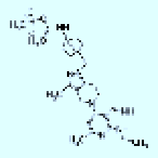 CCNc1nc(C)cc(N2CCc3c(c(C)nn3CC34CCC(NC(=O)OC(C)(C)C)(CC3)CC4)C2)c1C=N